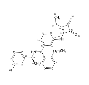 COc1ccccc1C(N[C@@H](C)c1cccc(F)c1)c1cccc(Nc2c(OC)c(=O)c2=O)c1